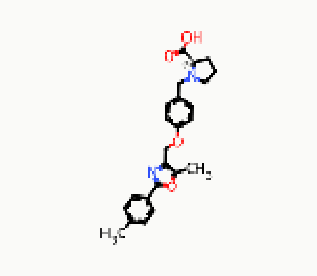 Cc1ccc(-c2nc(COc3ccc(CN4CCC[C@@H]4C(=O)O)cc3)c(C)o2)cc1